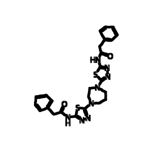 O=C(Cc1ccccc1)Nc1nnc(N2CCCN(c3nnc(NC(=O)Cc4ccccc4)s3)CC2)s1